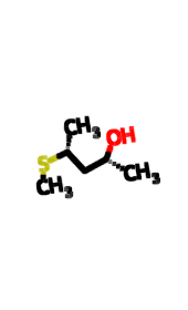 CS[C@H](C)C[C@@H](C)O